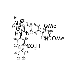 COc1ncc(-c2ccc3cc(S(=O)(=O)N(C)C)c(Nc4ccc(C5CCCC5)c(C(=O)O)c4)nc3c2)c(OC)n1